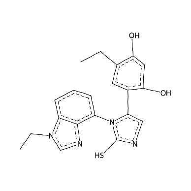 CCc1cc(-c2cnc(S)n2-c2cccc3c2ncn3CC)c(O)cc1O